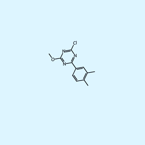 COc1nc(Cl)nc(-c2ccc(C)c(C)c2)n1